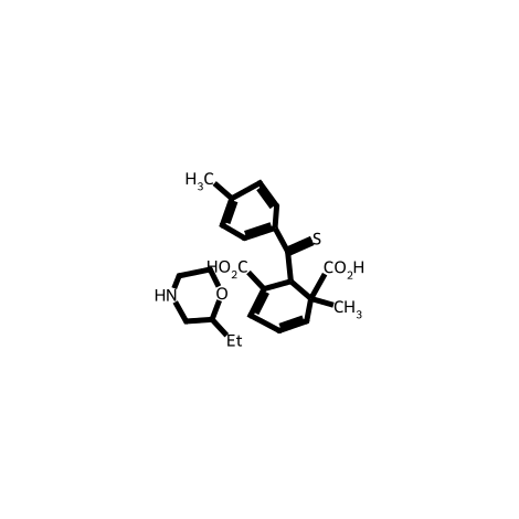 CCC1CNCCO1.Cc1ccc(C(=S)C2C(C(=O)O)=CC=CC2(C)C(=O)O)cc1